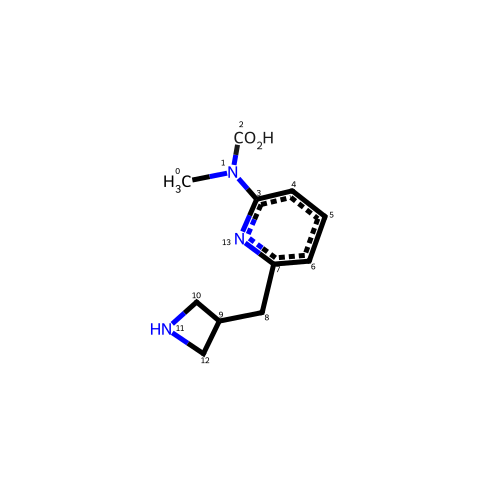 CN(C(=O)O)c1cccc(CC2CNC2)n1